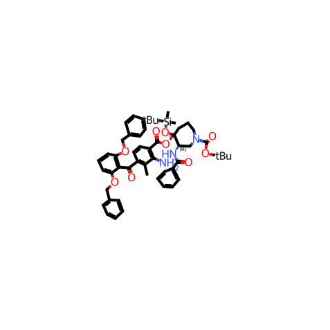 Cc1c(C(=O)c2c(OCc3ccccc3)cccc2OCc2ccccc2)ccc(C(=O)O[C@@]2(O[Si](C)(C)C(C)(C)C)CCCN(C(=O)OC(C)(C)C)C[C@H]2NC(=O)c2ccccc2)c1N